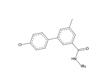 Cc1cc(C(=O)NC(C)(C)C)cc(-c2ccc(Cl)cc2)c1